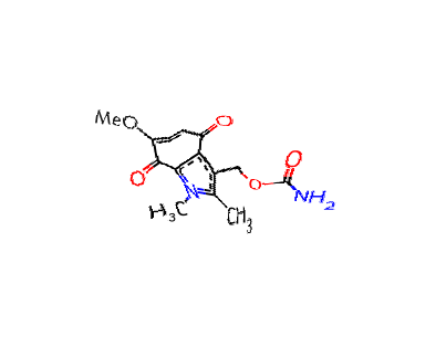 COC1=CC(=O)c2c(COC(N)=O)c(C)n(C)c2C1=O